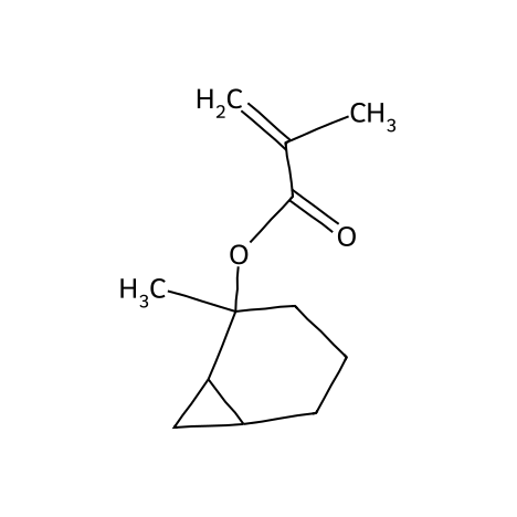 C=C(C)C(=O)OC1(C)CCCC2CC21